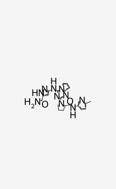 Cc1ccc(NC(=O)C2CCCN2c2nc(Nc3cc(C(N)=O)[nH]n3)n3cccc3n2)cn1